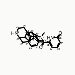 C[C@H]1CC23CCC(N(C)C(=O)c4cccc(=O)[nH]4)C1C21CCNC3Cc2ccc(O)cc21